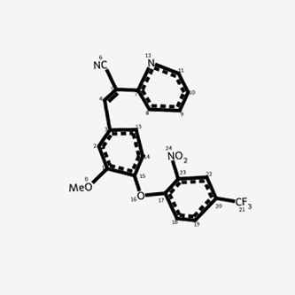 COc1cc(C=C(C#N)c2ccccn2)ccc1Oc1ccc(C(F)(F)F)cc1[N+](=O)[O-]